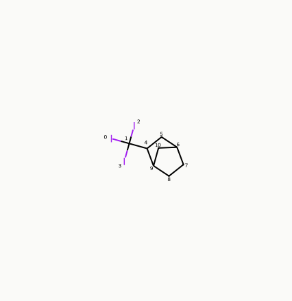 IC(I)(I)C1CC2CCC1C2